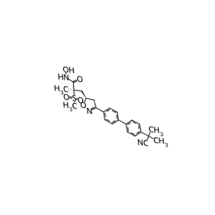 CC(C)(C#N)c1ccc(-c2ccc(C3=NO[C@@H](C[C@](C)(C(=O)NO)S(C)(=O)=O)C3)cc2)cc1